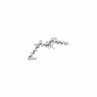 CNCCOCCOCCNC(=O)OCCC(C)(C)SSC(C)OCCCCOC(C)C